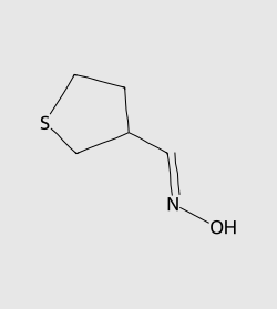 ON=CC1CCSC1